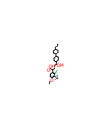 CCCC1CCC(C2CCC(C(O)CCC(C(=O)O)c3ccc(OCC)c([Si](C)(C)C)c3F)CC2)CC1